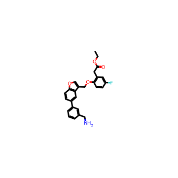 CCOC(=O)Cc1cc(F)ccc1OCc1coc2ccc(-c3cccc(CN)c3)cc12